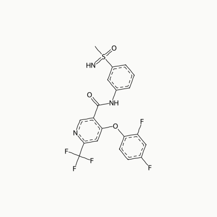 CS(=N)(=O)c1cccc(NC(=O)c2cnc(C(F)(F)F)cc2Oc2ccc(F)cc2F)c1